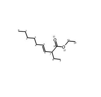 CCCCCC=CC(CC)C(=O)OCC